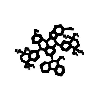 CC1c2ccccc2C2C=CC=CC2[C@H]1c1cc2c3c(c1)N(c1ccc4c(c1)C(C)(C)CCC4(C)C)c1c(oc4ccc(C(C)(C)C)cc14)B3c1cc(C(C)(C)C)ccc1N2c1ccc2c(c1)C(C)(C)CCC2(C)C